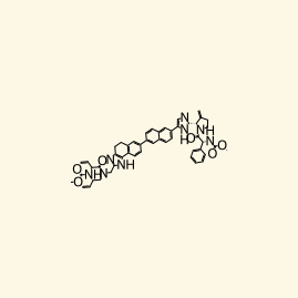 C=CCCN(Cc1nc2c([nH]1)-c1ccc(-c3ccc4cc(-c5cnc([C@@H]6C(=C)CCN6C(=O)[C@H](NC(=O)OC)c6ccccc6)[nH]5)ccc4c3)cc1CC2)C(=O)[C@H](C=C)NC(=O)OC